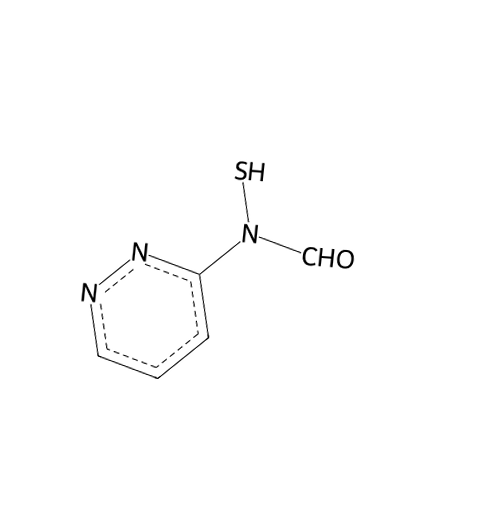 O=CN(S)c1cccnn1